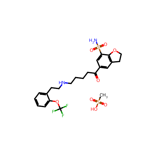 CS(=O)(=O)O.NS(=O)(=O)c1cc(C(=O)CCCCNCCc2ccccc2OC(F)(F)F)cc2c1OCC2